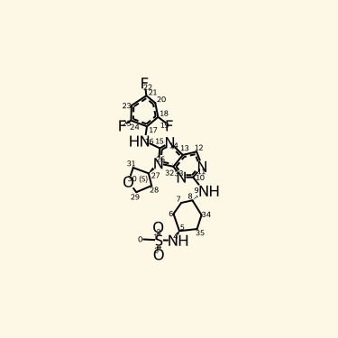 CS(=O)(=O)N[C@H]1CC[C@H](Nc2ncc3nc(Nc4c(F)cc(F)cc4F)n([C@H]4CCOC4)c3n2)CC1